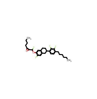 CCCCCCc1ccc(C2CCc3cc(OC(F)C4OC4CCCC)c(F)cc3C2)c(F)c1F